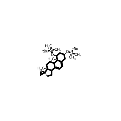 CC(C)(C)[Si](C)(C)O[C@@H]1CC2=CC=C3C(CC[C@@]4(C)C3CC[C@@]43CO3)[C@@]2(C)[C@@H](O[Si](C)(C)C(C)(C)C)C1